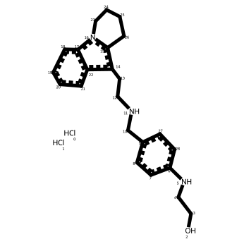 Cl.Cl.OCCNc1ccc(CNCCc2c3n(c4ccccc24)CCCC3)cc1